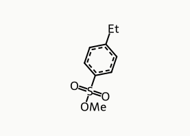 CCc1ccc(S(=O)(=O)OC)cc1